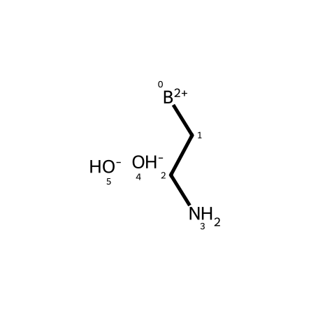 [B+2]CCN.[OH-].[OH-]